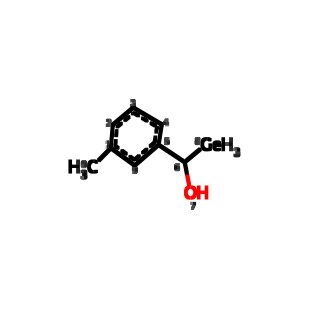 Cc1cccc([CH](O)[GeH3])c1